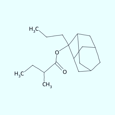 CCCC1(OC(=O)C(C)CC)C2CC3CC(C2)CC1C3